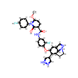 CCOc1ccc(C(=O)Nc2ccc(Oc3cc4cnn5c4c(c3-c3cn[nH]c3)CC5)c(F)c2)c(=O)n1-c1ccc(F)cc1